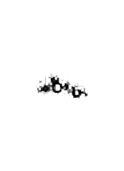 COc1ccnc(Nc2nc3c(s2)CCN(C2CC(F)(F)C2)c2[nH]ncc2-3)n1